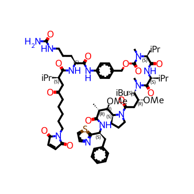 CC[C@H](C)[C@@H]([C@@H](CC(=O)N1CCC[C@H]1[C@H](OC)[C@@H](C)C(=O)N[C@@H](Cc1ccccc1)c1nccs1)OC)N(C)C(=O)[C@@H](NC(=O)[C@H](C(C)C)N(C)C(=O)OCc1ccc(NC(=O)[C@H](CCCNC(N)=O)NC(=O)[C@@H](CC(=O)CCCCCN2C(=O)C=CC2=O)C(C)C)cc1)C(C)C